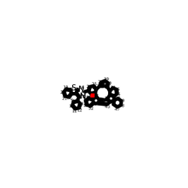 CC12c3cc(-c4nc(-c5ccccc5)c5c(n4)sc4ccccc45)ccc3-c3cccc(c3)C3CC=CC4=C3c3cc1c(cc3C41CCCCC1)-c1ccccc12